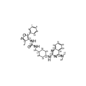 Cc1noc(-c2ccccc2)c1NC(=O)NCC1CCC(Nc2nc(N(C)C)c3ccccc3n2)CC1